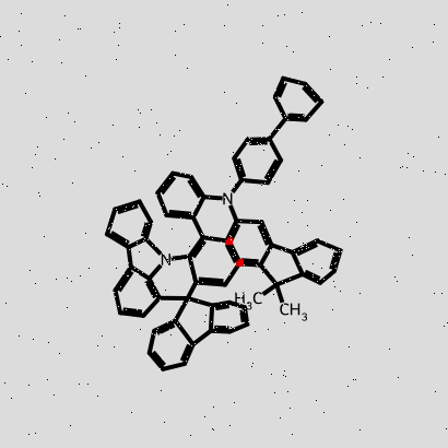 CC1(C)c2ccccc2-c2cc(N(c3ccc(-c4ccccc4)cc3)c3ccccc3-c3cccc4c3-n3c5ccccc5c5cccc(c53)C43c4ccccc4-c4ccccc43)ccc21